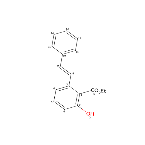 CCOC(=O)c1c(O)cccc1/C=C/c1ccccc1